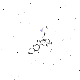 C=C(N[C@H](C/C=C\C=C/C)[C@@H]1CCNC1)C1=C=CC2=C(C=C1)CC=NC=C2